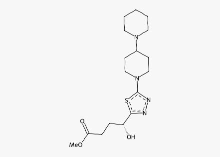 COC(=O)CC[C@@H](O)c1nnc(N2CCC(N3CCCCC3)CC2)s1